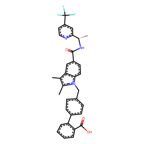 Cc1c(C)n(Cc2ccc(-c3ccccc3C(=O)O)cc2)c2ccc(C(=O)N[C@@H](C)c3cc(C(F)(F)F)ccn3)cc12